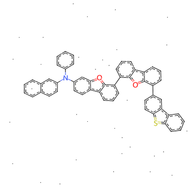 c1ccc(N(c2ccc3ccccc3c2)c2ccc3c(c2)oc2c(-c4cccc5c4oc4c(-c6ccc7sc8ccccc8c7c6)cccc45)cccc23)cc1